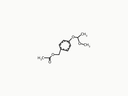 COC(C)Oc1ccc(COC(C)=O)cc1